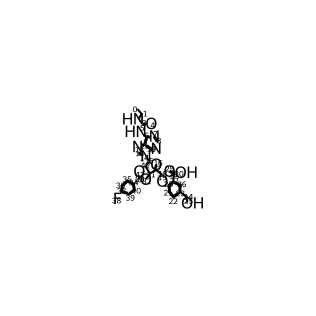 CCNC(=O)Nc1ncnc2c1ncn2C1OC(COc2ccc(CO)cc2C(=O)O)C2O[C@H](c3ccc(F)cc3)OC21